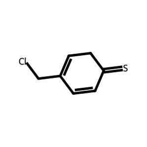 S=C1C=CC(CCl)=CC1